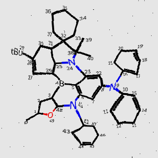 CC1CC2B3c4c(cc(N(C5=CCCC=C5)C5=CC=CCC5)cc4N4C5C3C=C(C(C)(C)C)CC5C3(CCCCC3)C4(C)C)N(C3CC=CCC3)C2O1